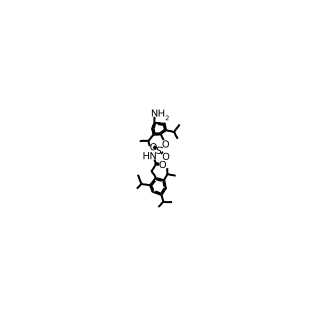 CC(C)c1cc(C(C)C)c(CC(=O)NS(=O)(=O)Oc2c(C(C)C)cc(N)cc2C(C)C)c(C(C)C)c1